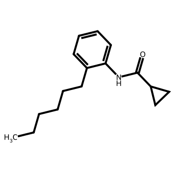 CCCCCCc1ccccc1NC(=O)C1CC1